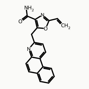 C=Cc1nc(C(N)=O)c(Cc2ccc3c(ccc4ccccc43)n2)o1